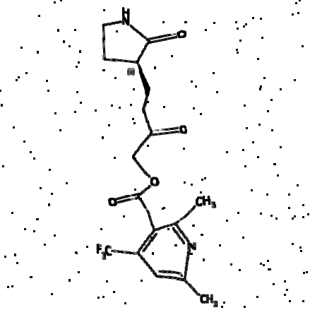 Cc1cc(C(F)(F)F)c(C(=O)OCC(=O)CC[C@H]2CCNC2=O)c(C)n1